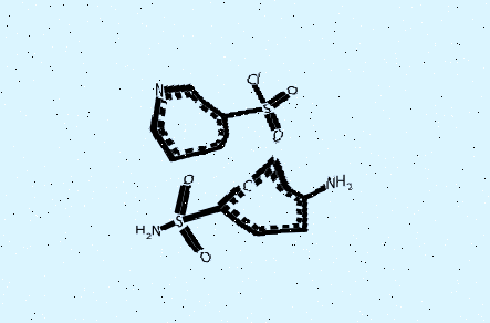 Nc1ccc(S(N)(=O)=O)cc1.O=S(=O)(Cl)c1cccnc1